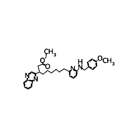 CCOC(=O)CC(CCCCCCc1cccc(NCc2ccc(OC)cc2)n1)c1cnc2ccccc2n1